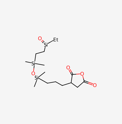 CC[Si](=O)CC[Si](C)(C)O[Si](C)(C)CCCC1CC(=O)OC1=O